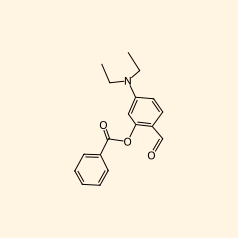 CCN(CC)c1ccc(C=O)c(OC(=O)c2ccccc2)c1